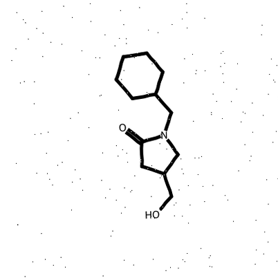 O=C1CC(CO)CN1CC1CCCCC1